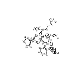 C=CCC[C@@H](C)O[C@@H]1O[C@@H](C)[C@H](O[SiH](c2ccccc2)C(C)(C)C)C[C@H]1OC(=O)c1ccccc1